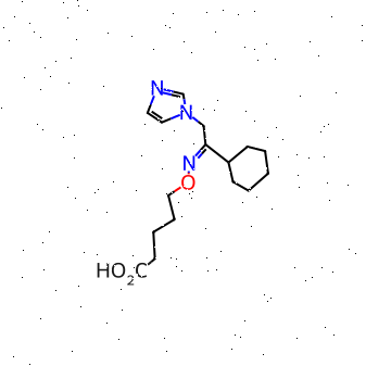 O=C(O)CCCCO/N=C(/Cn1ccnc1)C1CCCCC1